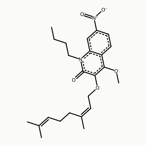 CCCCn1c(=O)c(OCC=C(C)CCC=C(C)C)c(OC)c2ccc([N+](=O)[O-])cc21